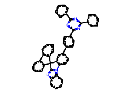 c1ccc(-c2nc(-c3ccccc3)nc(-c3ccc(-c4ccc5c(c4)C4(c6ccccc6-c6ccccc64)c4nc6ccccc6n4-5)cc3)n2)cc1